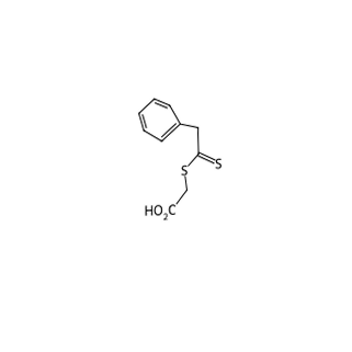 O=C(O)CSC(=S)Cc1ccccc1